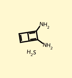 Nc1c2ccc-2c1N.S